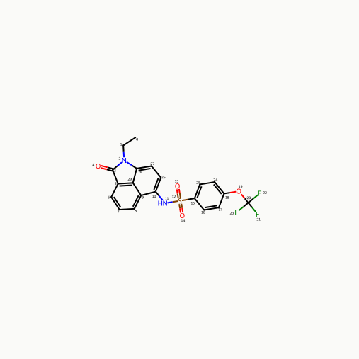 CCN1C(=O)c2cccc3c(NS(=O)(=O)c4ccc(OC(F)(F)F)cc4)ccc1c23